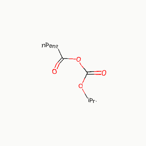 CCCCCC(=O)OC(=O)O[C](C)C